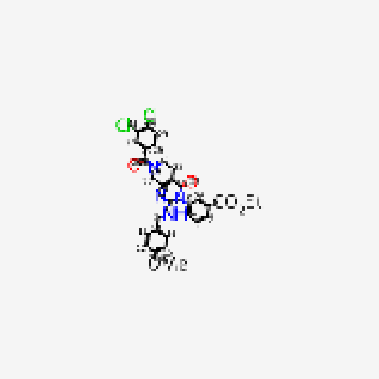 CCOC(=O)c1cccc(-n2c(NCc3ccc(OC)cc3)nc3c(c2=O)CCN(C(=O)c2ccc(Cl)c(Cl)c2)C3)c1